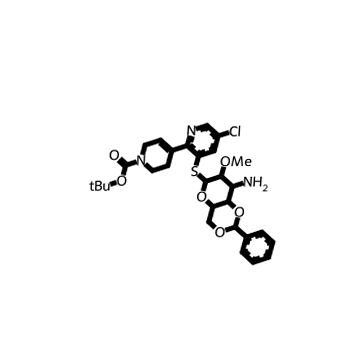 COC1C(Sc2cc(Cl)cnc2C2=CCN(C(=O)OC(C)(C)C)CC2)OC2COC(c3ccccc3)OC2C1N